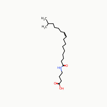 CC(C)CCCC/C=C\CCCCCCCC(=O)NCCCC(=O)O